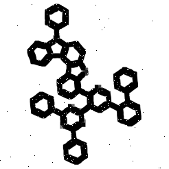 c1ccc(-c2nc(-c3ccccc3)nc(-c3cc(-c4ccccc4-c4ccccc4)cnc3-c3cccc4c3sc3ccc5c(c6ccccc6n5-c5ccccc5)c34)n2)cc1